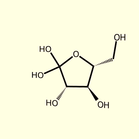 OC[C@H]1OC(O)(O)[C@@H](O)[C@@H]1O